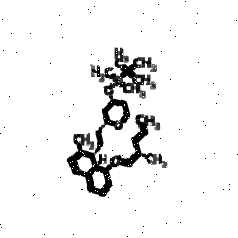 CCC[C@H](C)CO[C@H]1CCC=C2C=C[C@@H](C)[C@H](CC[C@@H]3C[C@H](O[Si](C)(C)C(C)(C)C)CCO3)[C@H]21